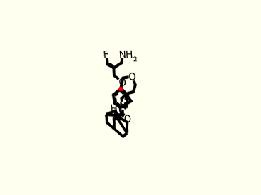 NC/C(=C\F)COc1ccc([C@]23CC4CC(C2)[C@@H](C(=O)N2CC5(CCOCC5)C2)C(C4)C3)cc1